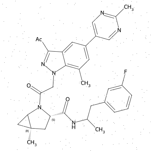 CC(=O)c1nn(CC(=O)N2C3C[C@]3(C)C[C@H]2C(=O)NC(C)Cc2cccc(F)c2)c2c(C)cc(-c3cnc(C)nc3)cc12